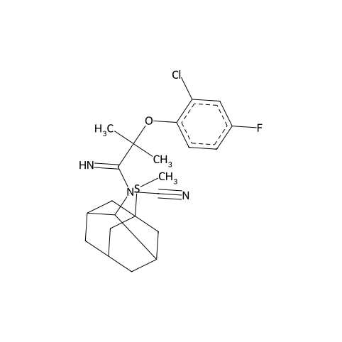 CSC12CC3CC(C1)C(N(C#N)C(=N)C(C)(C)Oc1ccc(F)cc1Cl)C(C3)C2